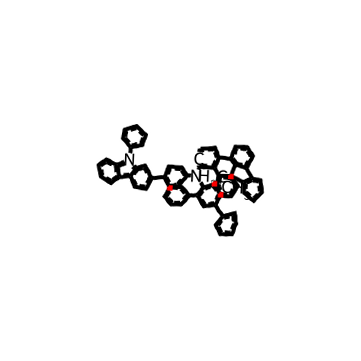 CC1(C)c2ccccc2-c2cccc(-c3cccc(N(c4ccc(-c5ccc6c7ccccc7n(-c7ccccc7)c6c5)cc4)c4ccc(-c5ccccc5)cc4-c4ccccc4)c3-c3ccccc3)c21